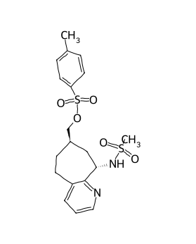 Cc1ccc(S(=O)(=O)OC[C@@H]2CCc3cccnc3[C@@H](NS(C)(=O)=O)C2)cc1